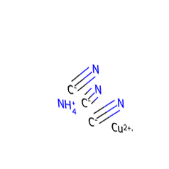 [C-]#N.[C-]#N.[C-]#N.[Cu+2].[NH4+]